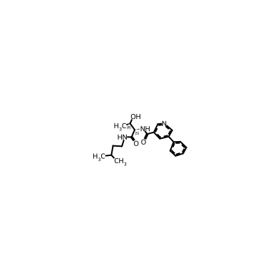 CC(C)CCNC(=O)[C@@H](NC(=O)c1cncc(-c2ccccc2)c1)[C@@H](C)O